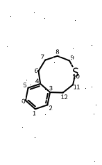 c1ccc2c(c1)CCCCSCC2